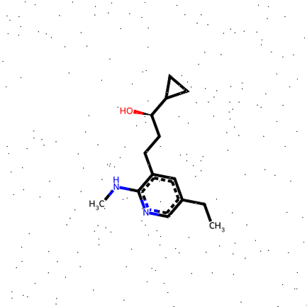 CCc1cnc(NC)c(CC[C@@H](O)C2CC2)c1